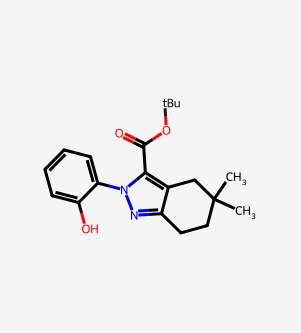 CC1(C)CCc2nn(-c3ccccc3O)c(C(=O)OC(C)(C)C)c2C1